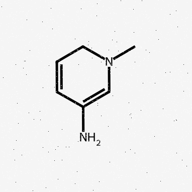 CN1C=C(N)C=CC1